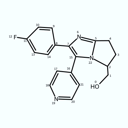 OCC1CCc2nc(-c3ccc(F)cc3)c(-c3ccncc3)n21